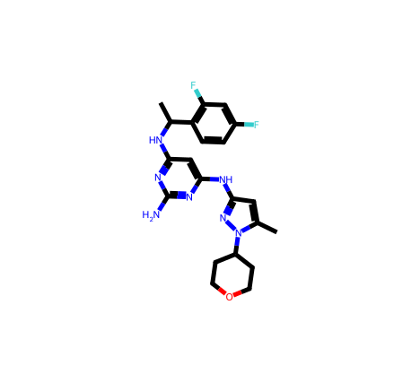 Cc1cc(Nc2cc(NC(C)c3ccc(F)cc3F)nc(N)n2)nn1C1CCOCC1